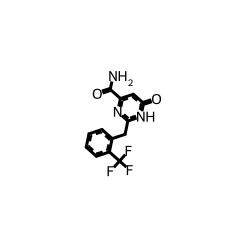 NC(=O)c1cc(=O)[nH]c(Cc2ccccc2C(F)(F)F)n1